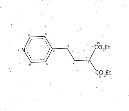 CCOC(=O)C(CCc1ccncc1)C(=O)OCC